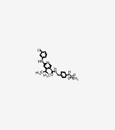 CC(C)c1cc(Nc2cccc(Cl)c2)ncc1C(=O)NCc1ccc(NS(C)(=O)=O)cc1